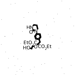 CCOC(=O)C(Cc1ccc(N2CCCNC2=O)cc1)(OCCO)C(=O)OCC